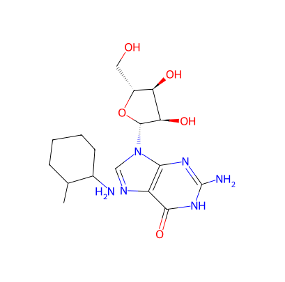 CC1CCCCC1N.Nc1nc2c(ncn2[C@@H]2O[C@H](CO)[C@@H](O)[C@H]2O)c(=O)[nH]1